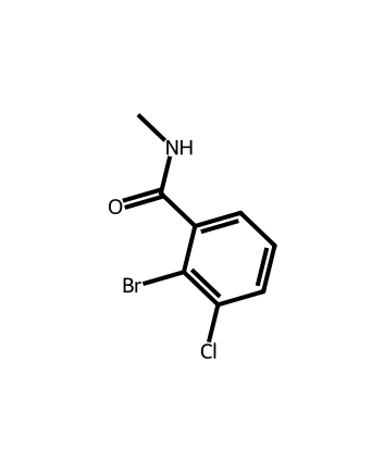 CNC(=O)c1cccc(Cl)c1Br